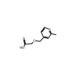 Cc1cc(COCC(=O)C(C)(C)C)ccn1